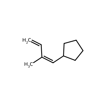 C=CC(C)=CC1CCCC1